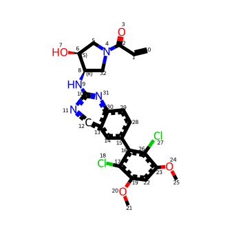 C=CC(=O)N1C[C@H](O)[C@H](Nc2ncc3cc(-c4c(Cl)c(OC)cc(OC)c4Cl)ccc3n2)C1